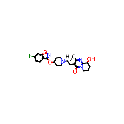 Cc1nc2n(c(=O)c1CCN1CCC(Oc3noc4cc(F)ccc34)CC1)CCCC2O